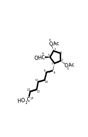 CC(=O)O[C@H]1C[C@@H](OC(C)=O)[C@H](C=O)[C@H]1CCCCCCC(=O)O